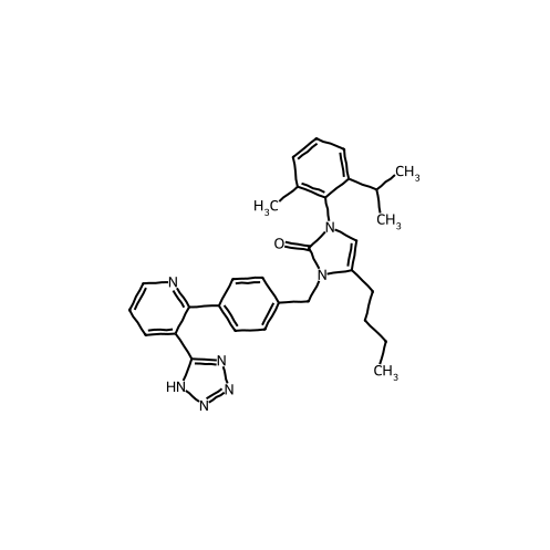 CCCCc1cn(-c2c(C)cccc2C(C)C)c(=O)n1Cc1ccc(-c2ncccc2-c2nnn[nH]2)cc1